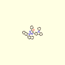 c1ccc(-n2c3ccccc3c3ccc(-c4nc(-n5c6cc7ccccc7cc6c6ccc7ccccc7c65)nc5c4oc4ccccc45)cc32)cc1